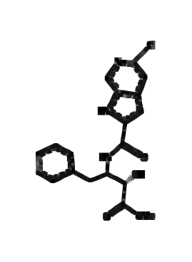 COC(=O)[C@@H](O)C(Cc1ccccc1)NC(=O)c1cc2cc(Cl)ncc2[nH]1